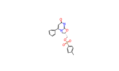 Cc1ccc(S(=O)(=O)OC[C@@H]2Cn3c(-c4ccccc4)cc(=O)nc3O2)cc1